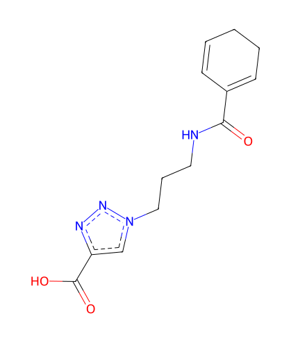 O=C(NCCCn1cc(C(=O)O)nn1)C1=CCCC=C1